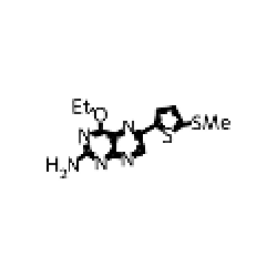 CCOc1nc(N)nc2ncc(-c3ccc(SC)s3)nc12